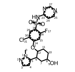 Cn1nccc1C1CC(O)CCC1Oc1cc(F)c(S(=O)(=O)Nc2ccncn2)cc1Cl